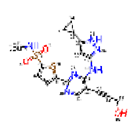 CC(C)(C)NS(=O)(=O)c1ccc(-c2ncc(C#CCO)c(Nc3cc(C4CC4)[nH]n3)n2)s1